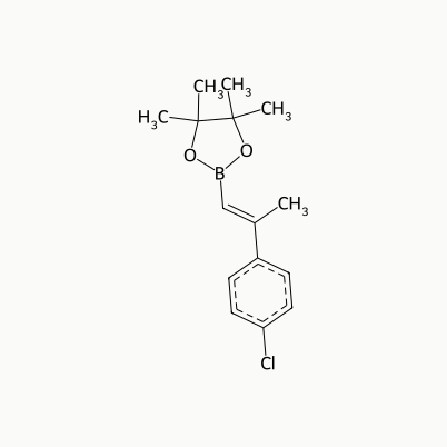 CC(=CB1OC(C)(C)C(C)(C)O1)c1ccc(Cl)cc1